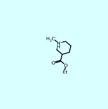 [CH2-][NH+]1CCCC(C(=O)OCC)C1